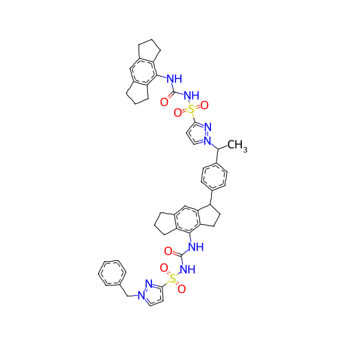 CC(c1ccc(C2CCc3c2cc2c(c3NC(=O)NS(=O)(=O)c3ccn(Cc4ccccc4)n3)CCC2)cc1)n1ccc(S(=O)(=O)NC(=O)Nc2c3c(cc4c2CCC4)CCC3)n1